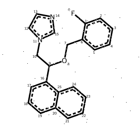 Fc1ccccc1COC(Cn1ccnc1)c1cccc2ccccc12